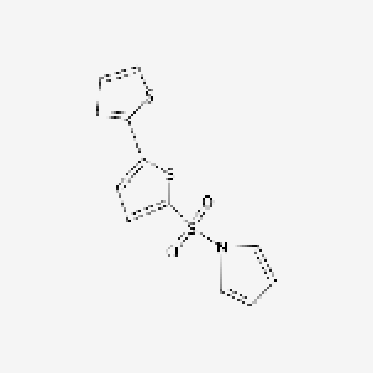 O=S(=O)(c1ccc(-c2cccs2)s1)n1cccc1